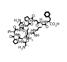 CC[C@H](C)[C@H](NC(=O)[C@H](C)N)C(=O)N1CCC[C@H]1C(=O)N[C@H](C(=O)N[C@@H](CC(N)=O)C(=O)N[C@@H](CCCCN)C(=O)N1CCC[C@H]1C(=O)NCC(=O)N[C@@H](CCCNC(=N)N)C(=O)N[C@@H](Cc1ccccc1)C(=O)O)C(C)C